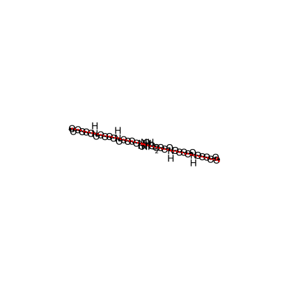 CC(C)(C)OC(=O)CCOCCOCCOCCOCCNC(=O)CCOCCOCCOCCOCCNC(=O)CCOCCOCCOCCOCCNC(=O)[C@H](N)[C@@H](N)C(=O)NCCOCCOCCOCCOCCC(=O)NCCOCCOCCOCCOCCC(=O)NCCOCCOCCOCCOCCC(=O)OC(C)(C)C